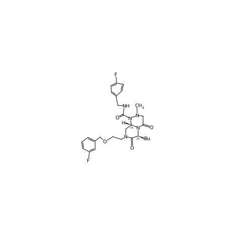 CCC(C)[C@H]1C(=O)N(CCOCc2cccc(F)c2)C[C@H]2N1C(=O)CN(C)N2C(=O)NCc1ccc(F)cc1